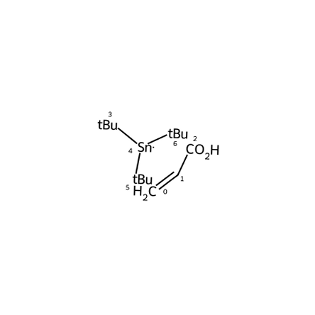 C=CC(=O)O.C[C](C)(C)[Sn]([C](C)(C)C)[C](C)(C)C